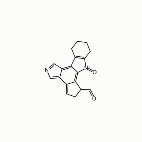 O=CC1CC=c2c1c1c(c3c2=CN=C3)C2=C(CCCC2)[N+]1=O